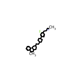 C/C=C/CCc1ccc(C2CCC(CCC3CCC(C[C@@H](C)c4ccccc4)CC3)CC2)cc1F